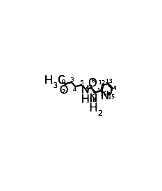 CC(=O)CCCNC(=O)C(N)c1ccccn1